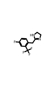 Fc1ccc(CC2=NCCN2)c(C(F)(F)F)c1